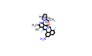 C#Cc1c(F)ccc2cc(N)cc(-c3nc4c5c(nc(C)c(C#N)c5c3F)N3C[C@H]5CC[C@H](N5)[C@H]3[C@H](C)O4)c12